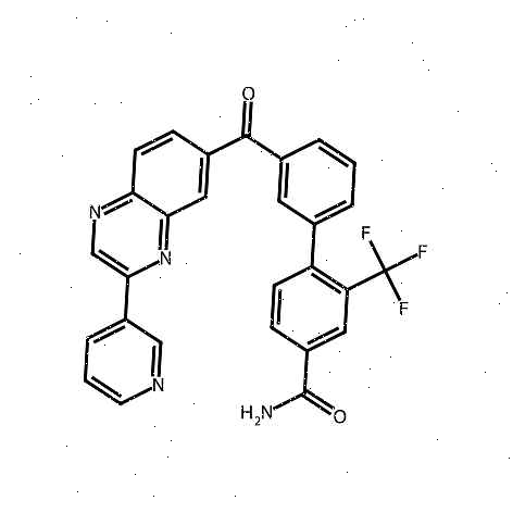 NC(=O)c1ccc(-c2cccc(C(=O)c3ccc4ncc(-c5cccnc5)nc4c3)c2)c(C(F)(F)F)c1